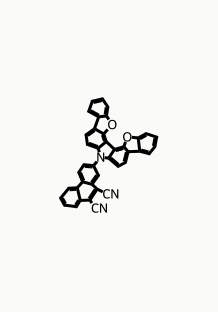 N#Cc1c(C#N)c2cc(-n3c4ccc5c6ccccc6oc5c4c4c5oc6ccccc6c5ccc43)ccc2c2ccccc12